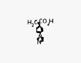 C=C(C(=O)O)c1ccc(-n2ccnc2)cc1